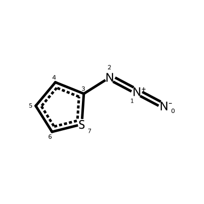 [N-]=[N+]=Nc1cccs1